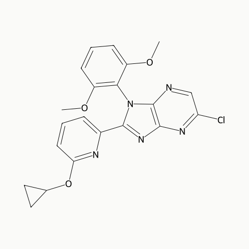 COc1cccc(OC)c1-n1c(-c2cccc(OC3CC3)n2)nc2nc(Cl)cnc21